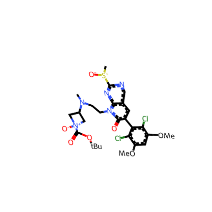 COc1cc(OC)c(Cl)c(-c2cc3cnc([S+](C)[O-])nc3n(CCN(C)C3C[N+]([O-])(C(=O)OC(C)(C)C)C3)c2=O)c1Cl